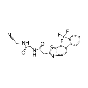 N#CCNC(=O)CNC(=O)Cc1nc2ccc(-c3ccccc3C(F)(F)F)cc2s1